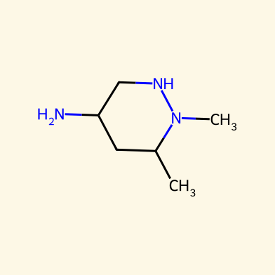 CC1CC(N)CNN1C